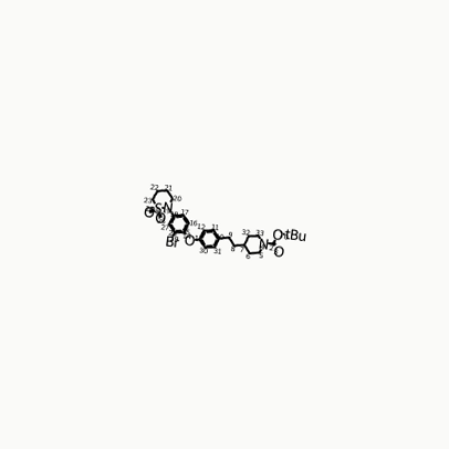 CC(C)(C)OC(=O)N1CCC(CCc2ccc(Oc3ccc(N4CCCCS4(=O)=O)cc3Br)cc2)CC1